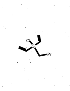 C=C[Si](Cl)(C=C)CC(C)C